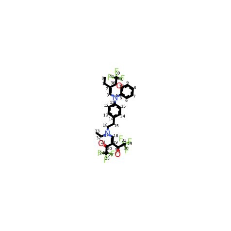 CC/C(=C/N(c1ccccc1)c1ccc(CCN(C=C(C(=O)C(F)(F)F)C(=O)C(F)(F)F)CC)cc1)C(=O)C(F)(F)F